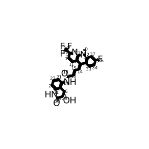 CN(C)c1nc(C(F)(F)F)ccc1/C(=C\C=C\C(=O)Nc1cccc2c1CC(O)C(=O)N2)c1ccc(F)cc1